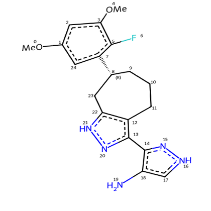 COc1cc(OC)c(F)c([C@@H]2CCCc3c(-c4n[nH]cc4N)n[nH]c3C2)c1